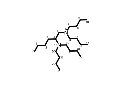 CCCCC(CN(CCCC)CCCC)N(CCCC)CCCC